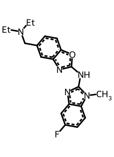 CCN(CC)Cc1ccc2oc(Nc3nc4cc(F)ccc4n3C)nc2c1